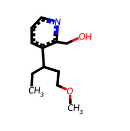 CCC(CCOC)c1cccnc1CO